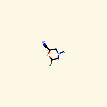 CN1CC(Cl)OC(C#N)C1